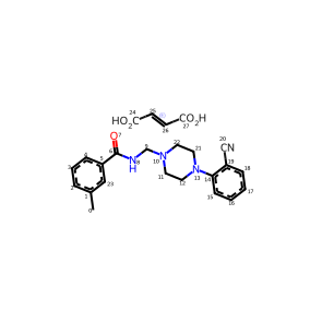 Cc1cccc(C(=O)NCN2CCN(c3ccccc3C#N)CC2)c1.O=C(O)/C=C/C(=O)O